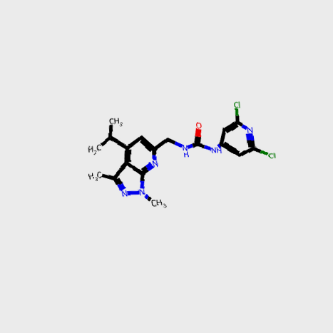 Cc1nn(C)c2nc(CNC(=O)Nc3cc(Cl)nc(Cl)c3)cc(C(C)C)c12